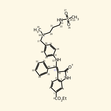 CCOC(=O)c1ccc2c(c1)NC(=O)/C2=C(\Nc1ccc(CN(C)CCCNS(C)(=O)=O)cc1)c1ccccc1